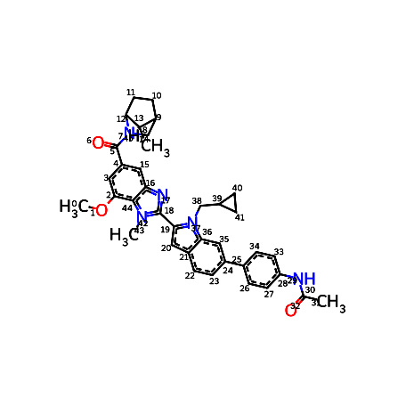 COc1cc(C(=O)N2CC3CCC2[C@@H]3C)cc2nc(-c3cc4ccc(-c5ccc(NC(C)=O)cc5)cc4n3CC3CC3)n(C)c12